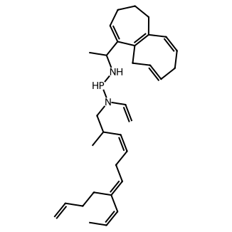 C=CCCC(/C=C\C)=C\C/C=C\C(C)CN(C=C)PNC(C)C1=CCCCC2=C1C/C=C/C/C=C\2